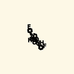 O=C(NCc1cccc(F)c1)OC1(O)CCCN(Cc2ccc(F)cc2)C1=O